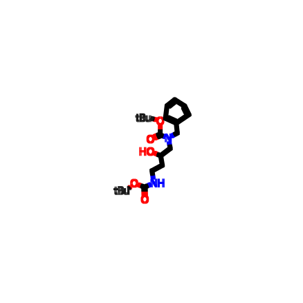 CC(C)(C)OC(=O)NCCC(O)CN(Cc1ccccc1)C(=O)OC(C)(C)C